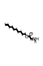 C=CCCCCCCCCOC(=O)CNC